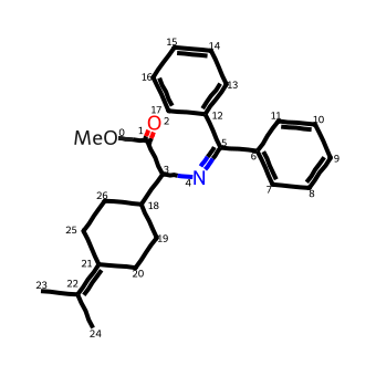 COC(=O)C(N=C(c1ccccc1)c1ccccc1)C1CCC(=C(C)C)CC1